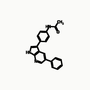 CC(=O)Nc1ccc(-c2c[nH]c3ncc(-c4ccccc4)cc23)cc1